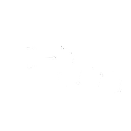 c1ccc(-n2ncc3c2CCOC3CN2CCOCC2)cc1